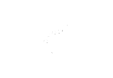 N#CCCCOc1cccc(/C=C/C(=O)c2ccc(S(=O)(=O)NCCC(=O)O)cc2)c1